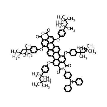 CC(C)(C)CC(C)(C)c1ccc(Oc2cc3c4c(cc(Oc5ccc(C(C)(C)CC(C)(C)C)cc5)c5c6ccc7c8c(Oc9ccc(C(C)(C)CC(C)(C)C)cc9)cc9c%10c(cc(Oc%11ccc(C(C)(C)CC(C)(C)C)cc%11)c(c%11ccc(c2c45)c6c%117)c%108)C(=O)N(c2ccc(N(c4ccccc4)c4ccccc4)cc2)C9=O)C(=O)OC3=O)cc1